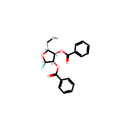 CC(=O)OC[C@H]1O[C@H](F)[C@H](OC(=O)c2ccccc2)[C@@H]1OC(=O)c1ccccc1